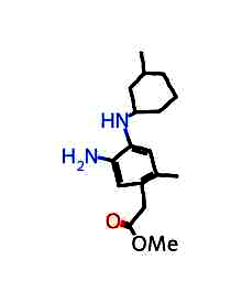 COC(=O)Cc1cc(N)c(NC2CCCC(C)C2)cc1C